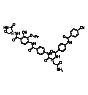 CC(C)Oc1c(NC(=O)c2ccc(NC(=O)[C@H](CC(N)=O)NC(=O)c3ccc(NC(=O)c4ccc(C#N)cc4)cc3)cc2)ccc(C(=O)N[C@@H]2CONC2=O)c1O